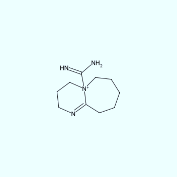 N=C(N)[N+]12CCCCCC1=NCCC2